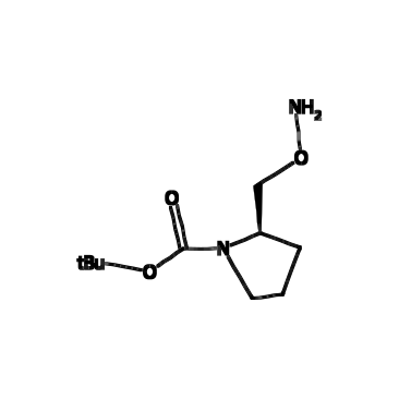 CC(C)(C)OC(=O)N1CCC[C@@H]1CON